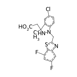 CC1(CC(=O)O)NN(Cc2nc3cc(F)cc(F)c3s2)c2ccc(Cl)cc21